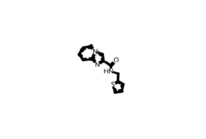 O=C(NCc1cccs1)c1cn2ccccc2n1